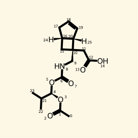 CC(=O)O[C@H](OC(=O)NC[C@@]1(CC(=O)O)C[C@@H]2CC=C[C@@H]21)C(C)C